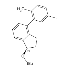 Cc1ccc(F)cc1-c1cccc2c1CC[C@H]2OC(C)(C)C